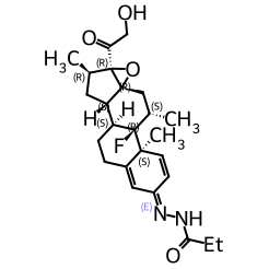 CCC(=O)N/N=C1\C=C[C@@]2(C)C(=C1)CC[C@H]1[C@@H]3C[C@@H](C)[C@@]4(C(=O)CO)O[C@]34C[C@H](C)[C@@]12F